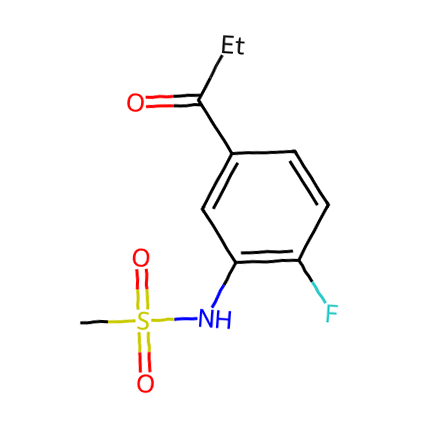 CCC(=O)c1ccc(F)c(NS(C)(=O)=O)c1